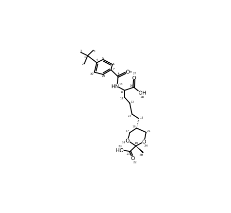 CC(C)(C)c1ccc(C(=O)NC(CCCC[C@H]2CO[C@@](C)(C(=O)O)OC2)C(=O)O)cc1